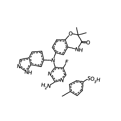 CC1(C)Oc2ccc(N(c3ccc4cn[nH]c4c3)c3nc(N)ncc3F)cc2NC1=O.Cc1ccc(S(=O)(=O)O)cc1